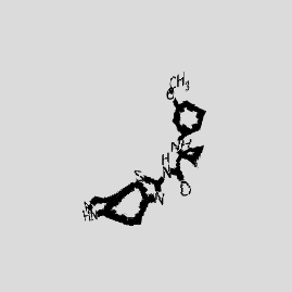 COc1cccc(NC2(C(=O)Nc3nc4ccc5[nH]ncc5c4s3)CC2)c1